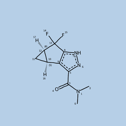 CN(C)C(=O)c1n[nH]c2c1[C@H]1C[C@H]1C2(F)F